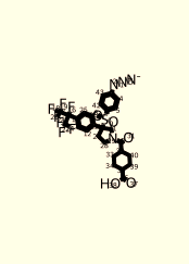 [N-]=[N+]=Nc1ccc(S(=O)(=O)C2(c3ccc(C(F)(C(F)(F)F)C(F)(F)F)cc3)CCN(C(=O)C3CCC(C(=O)O)CC3)C2)cc1